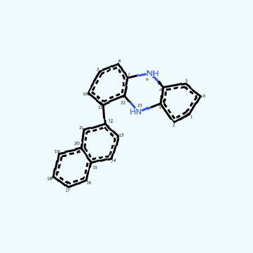 c1ccc2c(c1)Nc1cccc(-c3ccc4ccccc4c3)c1N2